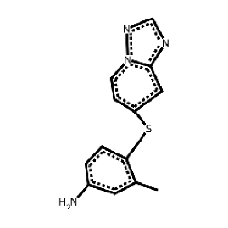 Cc1cc(N)ccc1Sc1ccn2ncnc2c1